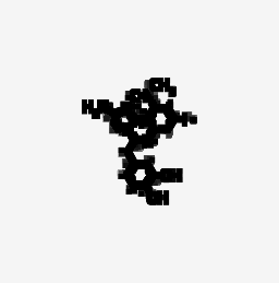 CN(C)c1cc(F)cc2nc(Cc3ccc(O)c(O)c3)n3nc(N)nc3c12